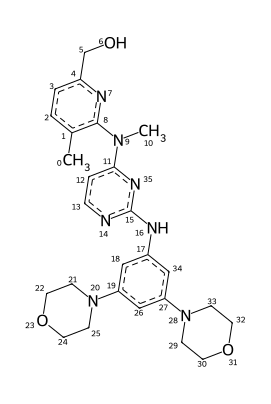 Cc1ccc(CO)nc1N(C)c1ccnc(Nc2cc(N3CCOCC3)cc(N3CCOCC3)c2)n1